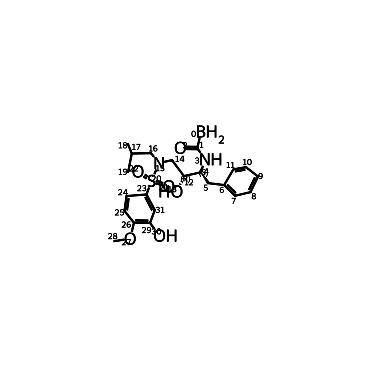 BC(=O)N[C@@H](Cc1ccccc1)[C@H](O)CN(CC(C)C)S(=O)(=O)c1ccc(OC)c(O)c1